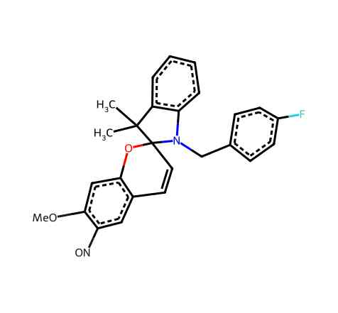 COc1cc2c(cc1N=O)C=CC1(O2)N(Cc2ccc(F)cc2)c2ccccc2C1(C)C